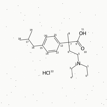 CCN(CC)CCC(C)(C(=O)O)c1ccc(CC(C)C)cc1.Cl